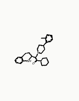 Cc1ccccc1C1CCN(C(C(=O)C2CCCCC2)C2CCc3ccccc3N2)CC1